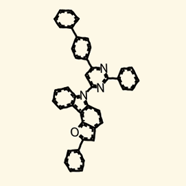 c1ccc(-c2ccc(-c3cc(-n4c5ccccc5c5c6oc(-c7ccccc7)cc6ccc54)nc(-c4ccccc4)n3)cc2)cc1